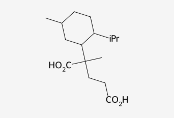 CC1CCC(C(C)C)C(C(C)(CCC(=O)O)C(=O)O)C1